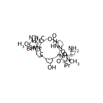 CCn1c(-c2cccnc2[C@H](C)OC)c2c3cc(ccc31)-c1cc(O)cc(c1)C[C@H](NC(=O)[C@H](C(C)C)N(C)C(=O)[C@H]1CC[C@@H]1N)C(=O)N1CCC[C@H](N1)C(=O)OCC(C)(C)C2